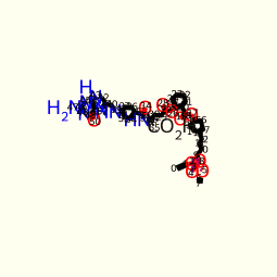 C#COP(=O)(OC#C)OCCCCc1ccc(OC(=O)c2ccccc2OC(=O)CC[C@H](NC(=O)c2ccc(NCc3cnc4[nH]c(N)nc(=O)c4n3)cc2)C(=O)O)cc1